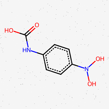 O=C(O)Nc1ccc(N(O)O)cc1